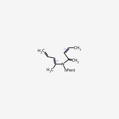 C=C/C=C(\C)N(CCCCC)C(=C)/C=C\C